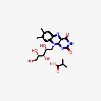 CC(C)C(=O)O.Cc1cc2nc3c(=O)[nH]c(=O)nc-3n(C[C@H](O)[C@H](O)[C@H](O)CO)c2cc1C